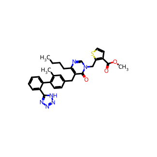 CCCCc1ncn(Cc2sccc2C(=O)OC)c(=O)c1Cc1ccc(-c2ccccc2-c2nnn[nH]2)c(C)c1